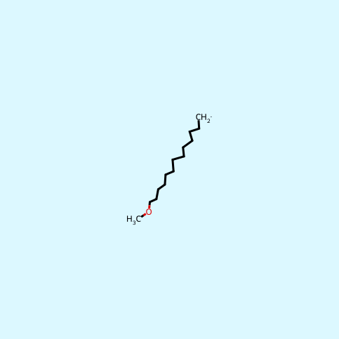 [CH2]CCCCCCCCCCCCOC